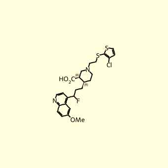 COc1ccc2nccc(C(F)CC[C@@H]3CCN(CCSc4sccc4Cl)C[C@@H]3C(=O)O)c2c1